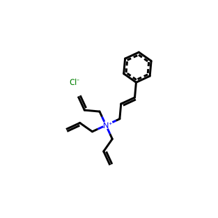 C=CC[N+](CC=C)(CC=C)CC=Cc1ccccc1.[Cl-]